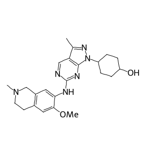 COc1cc2c(cc1Nc1ncc3c(C)nn(C4CCC(O)CC4)c3n1)CN(C)CC2